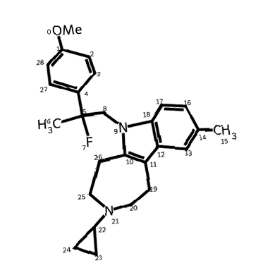 COc1ccc(C(C)(F)Cn2c3c(c4cc(C)ccc42)CCN(C2CC2)CC3)cc1